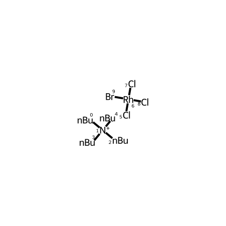 CCCC[N+](CCCC)(CCCC)CCCC.[Cl][Rh]([Cl])([Cl])[Br]